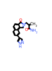 C=C(CN1Cc2c(ccc3ccc(-c4cn[nH]c4)cc23)C1=O)C(N)=O